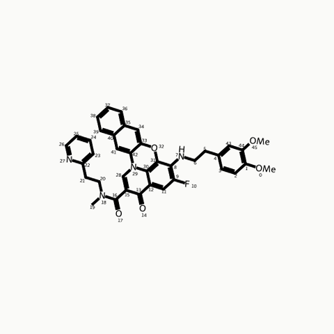 COc1ccc(CCNc2c(F)cc3c(=O)c(C(=O)N(C)CCc4ccccn4)cn4c3c2Oc2cc3ccccc3cc2-4)cc1OC